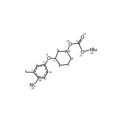 Cc1cc(OC2CCCN(OC(=O)OC(C)(C)C)C2)ccc1C#N